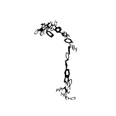 CCCC(C(=O)NC=O)N1Cc2cc(C#CCCOCCN[C@H]3CC[C@@H](n4cc(-c5ccc(Nc6ncc7c(n6)N(C6CCCC6)[C@H](CC)C(=O)N7C)c(OC)c5)nn4)CC3)ccc2C1=O